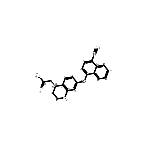 [C-]#[N+]c1ccc(Oc2ccc3c(c2)OCC[C@H]3CC(=O)O)c2ccccc12